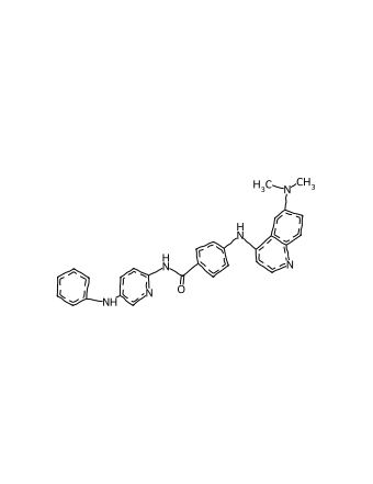 CN(C)c1ccc2nccc(Nc3ccc(C(=O)Nc4ccc(Nc5ccccc5)cn4)cc3)c2c1